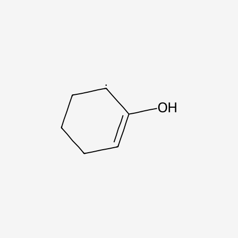 OC1=CCCC[CH]1